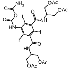 CC(=O)OCC(COC(C)=O)NC(=O)c1c(I)c(NC(=O)OC(N)=O)c(I)c(C(=O)NC(COC(C)=O)COC(C)=O)c1I